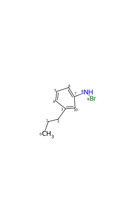 CCCc1cccc(NBr)c1